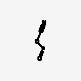 N#COP=O